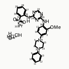 COc1cc(N2CCN(c3ccccc3)CC2)ccc1Nc1ncnc(Nc2ccccc2S(=O)(=O)C(C)C)n1.Cl.Cl.Cl